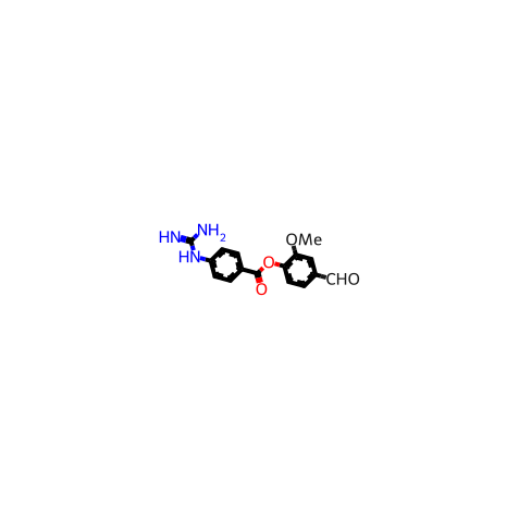 COc1cc(C=O)ccc1OC(=O)c1ccc(NC(=N)N)cc1